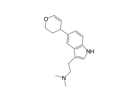 CN(C)CCc1c[nH]c2ccc(C3C=COCC3)cc12